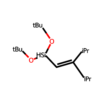 CC(C)C(=C[SiH](OC(C)(C)C)OC(C)(C)C)C(C)C